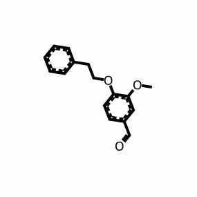 COc1cc(C=O)ccc1OCCc1ccccc1